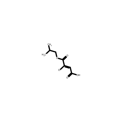 CC(C)COC(=O)/C(Cl)=C/C(=O)O